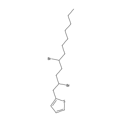 CCCCCCCC(Br)CCC(Br)Cc1cccs1